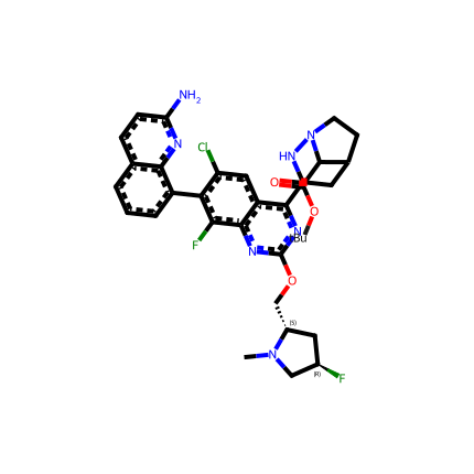 CN1C[C@H](F)C[C@H]1COc1nc(C2CC3CCN(N2)C3C(=O)OC(C)(C)C)c2cc(Cl)c(-c3cccc4ccc(N)nc34)c(F)c2n1